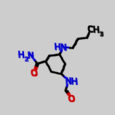 CCCCNC1CC(NC=O)CC(C(N)=O)C1